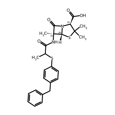 CC(Sc1ccc(Cc2ccccc2)cc1)C(=O)N[C@@]1(C)C(=O)N2[C@@H](C(=O)O)C(C)(C)S[C@@H]21